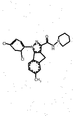 Cc1ccc2c(c1)Cc1c(C(=O)NN3CCCCC3)nn(C3=CC=C(Cl)CC3Cl)c1-2